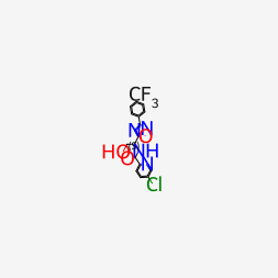 O=C(N[C@@H](CO)c1nc(-c2ccc(C(F)(F)F)cc2)no1)c1ccc(Cl)cn1